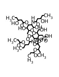 CCC(=O)OC(CC)CC(=O)NC1C(OCC2OC(O)C(NC(=O)CC(O)CC)C(OC(=O)CC(O)CC)C2O)OC(CO)C(CP(=O)(O)O)C1OC(=O)CC(CC)OC(=O)CC